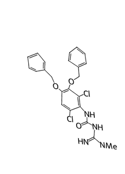 CNC(=N)NC(=O)Nc1c(Cl)cc(OCc2ccccc2)c(OCc2ccccc2)c1Cl